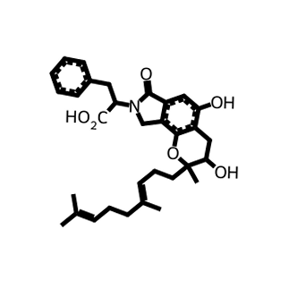 CC(C)=CCC/C(C)=C/CCC1(C)Oc2c(c(O)cc3c2CN(C(Cc2ccccc2)C(=O)O)C3=O)CC1O